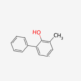 Cc1c[c]cc(-c2ccccc2)c1O